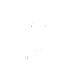 Cc1[c]c(C)nc(OCC(O)CO)n1